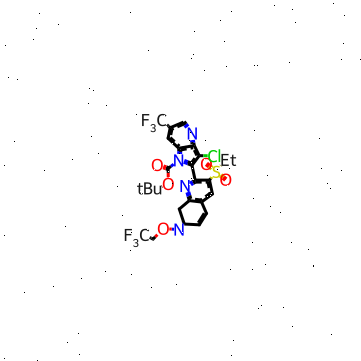 CCS(=O)(=O)c1cc2c(nc1-c1c(Cl)c3ncc(C(F)(F)F)cc3n1C(=O)OC(C)(C)C)CC(=NOCC(F)(F)F)C=C2